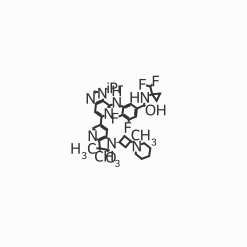 CC(C)n1cnc2cc(-c3cnc4c(c3)N([C@H]3C[C@@](C)(N5CCCCC5)C3)C(=O)C4(C)C)nc(Nc3cc(C(O)NC4(C(F)F)CC4)cc(F)c3F)c21